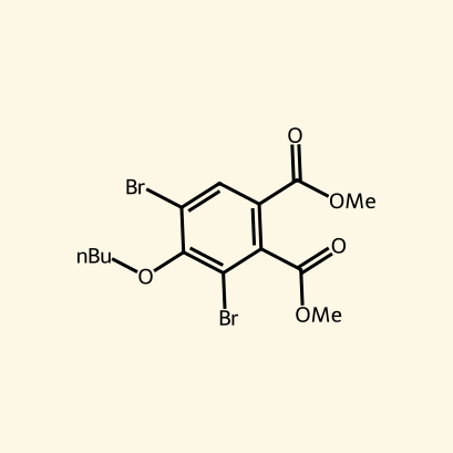 CCCCOc1c(Br)cc(C(=O)OC)c(C(=O)OC)c1Br